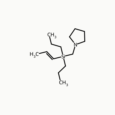 CC=C[Si](CCC)(CCC)CN1CCCC1